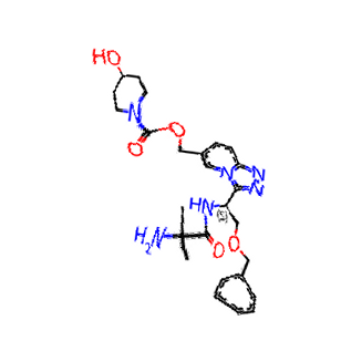 CC(C)(N)C(=O)N[C@H](COCc1ccccc1)c1nnc2ccc(COC(=O)N3CCC(O)CC3)cn12